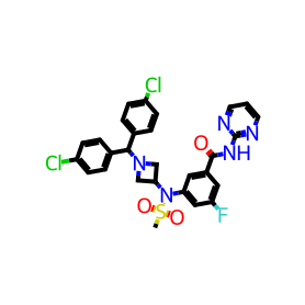 CS(=O)(=O)N(c1cc(F)cc(C(=O)Nc2ncccn2)c1)C1CN(C(c2ccc(Cl)cc2)c2ccc(Cl)cc2)C1